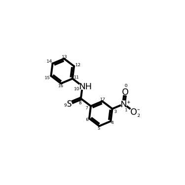 O=[N+]([O-])c1cccc(C(=S)Nc2ccccc2)c1